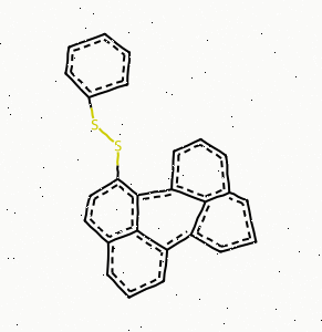 c1ccc(SSc2ccc3cccc4c5cccc6cccc(c2c34)c65)cc1